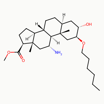 CCCCCCO[C@H]1C[C@@]2(C)[C@@H](CC[C@@H]3[C@@H]2[C@H](N)C[C@]2(C)[C@@H](C(=O)OC)CC[C@@H]32)C[C@@H]1O